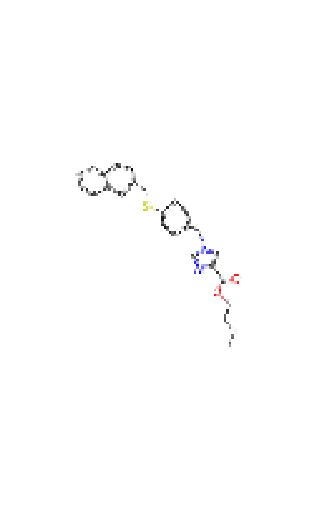 CCCCOC(=O)c1cn(Cc2ccc(SCc3ccc4ccccc4c3)cc2)cn1